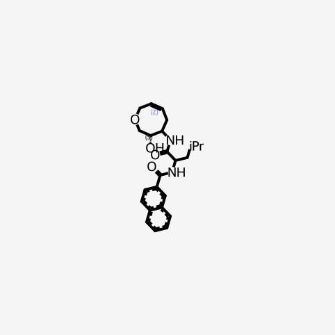 [CH2]C([CH2])CC(NC(=O)c1ccc2ccccc2c1)C(=O)NC1C/C=C\COC[C@H]1O